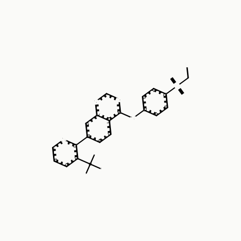 O=S(=O)(CF)c1ccc(Nc2ncnc3cc(-c4ncccc4C(F)(F)F)ccc23)cc1